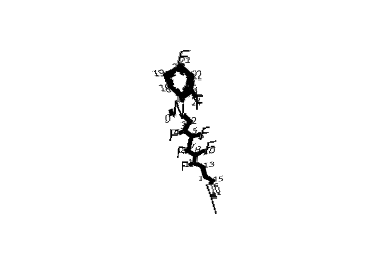 CN(CC(F)C(F)C(F)C(F)C(F)CCCF)c1ccc(F)cc1F